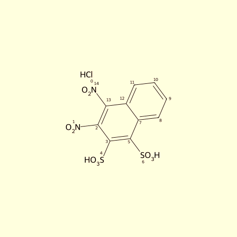 Cl.O=[N+]([O-])c1c(S(=O)(=O)O)c(S(=O)(=O)O)c2ccccc2c1[N+](=O)[O-]